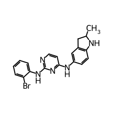 CC1Cc2cc(Nc3ccnc(Nc4ccccc4Br)n3)ccc2N1